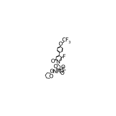 C[C@@](CCn1cc(F)c(-c2ccc(OCC(F)(F)F)cc2)cc1=O)(C(=O)NOC1CCCCO1)S(C)(=O)=O